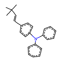 CC(C)(C)/C=C/c1ccc(N(c2ccccc2)c2ccccc2)cc1